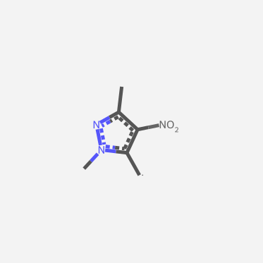 [CH2]c1c([N+](=O)[O-])c(C)nn1C